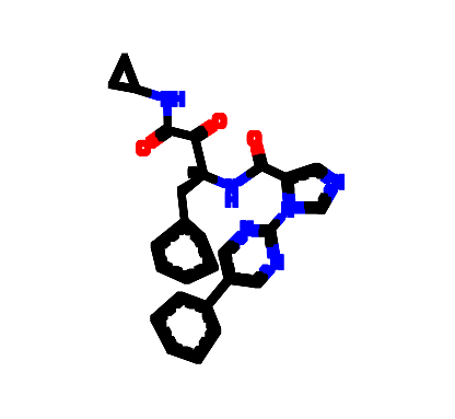 O=C(NC1CC1)C(=O)[C@H](Cc1ccccc1)NC(=O)c1cncn1-c1ncc(-c2ccccc2)cn1